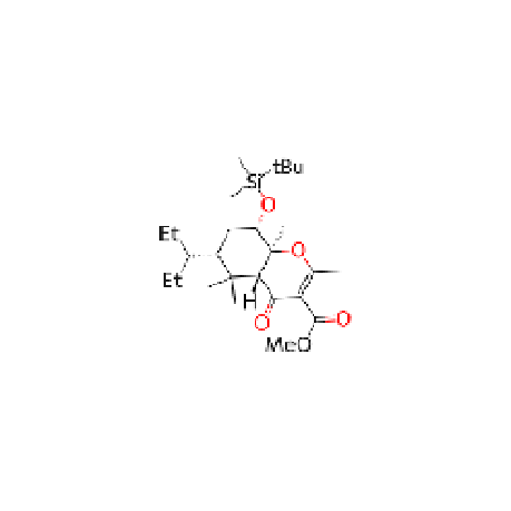 CCC(CC)[C@@H]1C[C@H](O[Si](C)(C)C(C)(C)C)[C@@]2(C)OC(C)=C(C(=O)OC)C(=O)[C@@H]2C1(C)C